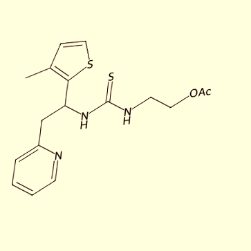 CC(=O)OCCNC(=S)NC(Cc1ccccn1)c1sccc1C